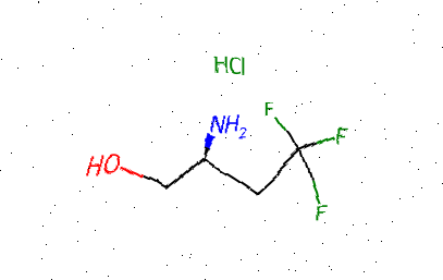 Cl.N[C@H](CO)CC(F)(F)F